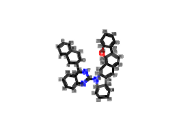 c1ccc2cc(-c3nc(-n4c5ccccc5c5cc6ccc7c8ccccc8oc7c6cc54)nc4ccccc34)ccc2c1